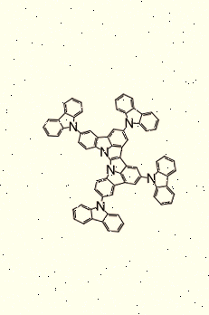 c1ccc2c(c1)c1ccccc1n2-c1ccc2c(c1)c1cc(-n3c4ccccc4c4ccccc43)cc3c4c5cc(-n6c7ccccc7c7ccccc76)cc6c7cc(-n8c9ccccc9c9ccccc98)ccc7n(c65)c4n2c13